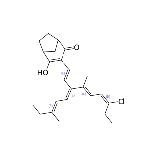 CC/C(C)=C/C=C(\C=C\C1=C(O)C2CCC(C2)C1=O)C(/C)=C/C=C(/Cl)CC